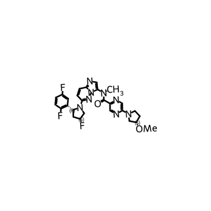 CO[C@H]1CCN(c2cnc(C(=O)N(C)c3cnc4ccc(N5C[C@@H](F)C[C@@H]5c5cc(F)ccc5F)nn34)cn2)C1